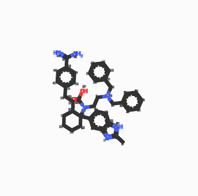 Cc1nc2cc(C3(N(CCN(Cc4ccccc4)Cc4ccccc4)C(=O)O)CCCCC3CCc3ccc(C(=N)N)cc3)ccc2[nH]1